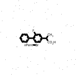 CC(C(=O)O)c1ccc(-c2ccccc2)c(F)c1.CCCCCBr